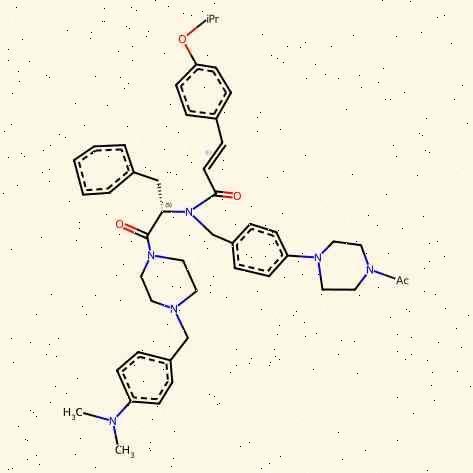 CC(=O)N1CCN(c2ccc(CN(C(=O)/C=C/c3ccc(OC(C)C)cc3)[C@@H](Cc3ccccc3)C(=O)N3CCN(Cc4ccc(N(C)C)cc4)CC3)cc2)CC1